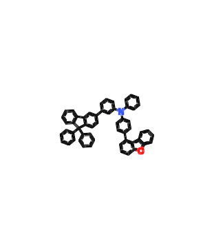 c1ccc(N(c2ccc(-c3cccc4oc5ccccc5c34)cc2)c2cccc(-c3ccc4c(c3)-c3ccccc3C4(c3ccccc3)c3ccccc3)c2)cc1